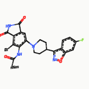 CCCCCCCCCC(=O)Nc1c(N2CCC(c3noc4cc(F)ccc34)CC2)cc2c(c1CC)C(=O)NC2=O